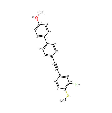 N#CSc1ccc(C#Cc2ccc(-c3ccc(OC(F)(F)F)cc3)cc2)cc1F